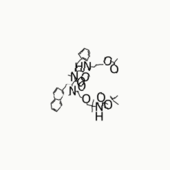 CC(=O)OCCCNC(=O)C(Cc1ccccc1)N(C)C(=O)[C@@H](Cc1ccc2ccccc2c1)N(C)C(=O)COCC(C)(C)NC(=O)OC(C)(C)C